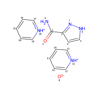 NC(=O)c1cc[nH]n1.[O-2].c1cc[nH+]cc1.c1cc[nH+]cc1